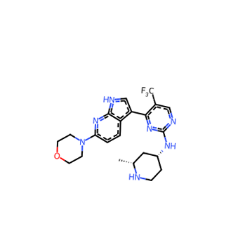 C[C@@H]1C[C@H](Nc2ncc(C(F)(F)F)c(-c3c[nH]c4nc(N5CCOCC5)ccc34)n2)CCN1